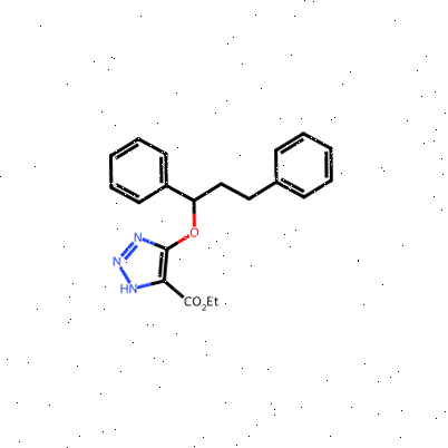 CCOC(=O)c1[nH]nnc1OC(CCc1ccccc1)c1ccccc1